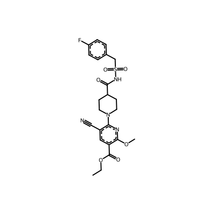 CCOC(=O)c1cc(C#N)c(N2CCC(C(=O)NS(=O)(=O)Cc3ccc(F)cc3)CC2)nc1OC